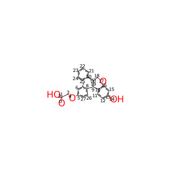 O=C(O)COc1ccc(C2c3ccc(O)cc3OC[C@@H]2c2ccccc2)cc1